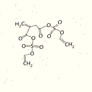 C=COS(=O)(=O)OC(=O)CC(=C)C(=O)OS(=O)(=O)OC=C